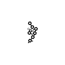 Cc1ccc(-c2ccc3c4ccc(-c5ccccc5C)cc4n(-c4cccc5c4C(=O)N(c4cccc(-c6ccccc6)c4)C5=O)c3c2)c(C)c1